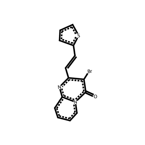 O=c1c(Br)c(C=Cc2cccs2)nc2ccccn12